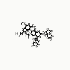 Nc1nc2c(-c3c(C(F)(F)F)cc4c(N5CC6CCC(C5)N6)nc(OC[C@@]56CCCN5C[C@H](F)C6)nc4c3F)c(F)cc(Cl)c2s1